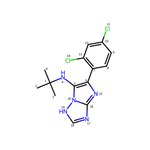 CC(C)(C)Nc1c(-c2ccc(Cl)cc2Cl)nc2nc[nH]n12